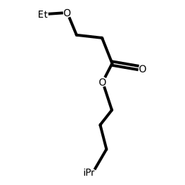 CCOCCC(=O)OCCCC(C)C